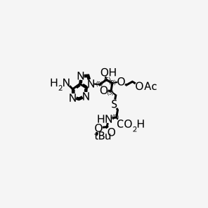 CC(=O)OCCO[C@@H]1[C@H](O)[C@H](n2cnc3c(N)ncnc32)O[C@@H]1CSC[C@H](NC(=O)OC(C)(C)C)C(=O)O